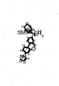 CN(c1ccc2c(c1)COc1cc(-n3cccn3)ccc1-2)C1CC2CCC(C(C)(C)C)(C1)N2C(=O)O